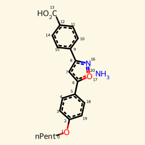 CCCCCOc1ccc(-c2cc(-c3ccc(C(=O)O)cc3)no2)cc1.N